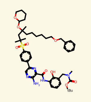 CN(Cc1cccc(NC(=O)c2nc(-c3ccc(S(=O)(=O)C(C)(C)CC(C)(CCCCCCOCc4ccccc4)OC4CCCCO4)cc3)cnc2N)c1O)C(=O)OC(C)(C)C